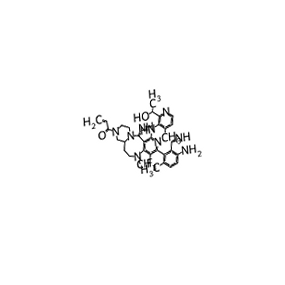 C=CC(=O)N1CCN2C(=N)c3c(Nc4c(C)ccnc4C(C)O)nc(-c4c(C)ccc(N)c4C=N)c(F)c3N(C)CCC2C1